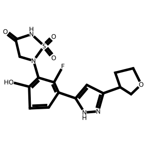 O=C1CN(c2c(O)ccc(-c3cc(C4CCOC4)n[nH]3)c2F)S(=O)(=O)N1